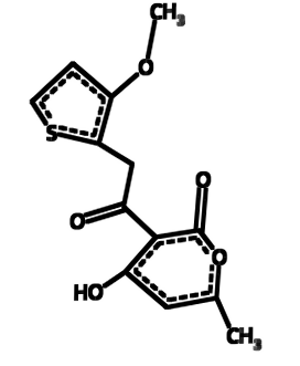 COc1ccsc1CC(=O)c1c(O)cc(C)oc1=O